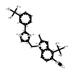 [C-]#[N+]c1ccc2c(cc(C)n2Cc2coc(-c3cccc(C(F)(F)F)c3)n2)c1C(F)(F)F